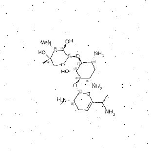 CN[C@@H]1[C@@H](O)[C@@H](O[C@@H]2[C@@H](O)[C@H](O[C@@H]3OC(C(C)N)=CC[C@@H]3N)[C@@H](N)C[C@H]2N)OC[C@]1(C)O